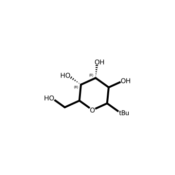 CC(C)(C)C1OC(CO)[C@H](O)[C@H](O)C1O